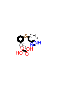 CC(Cc1c[nH]cn1)Sc1cccc(C(F)(F)F)c1.O=C(O)C(=O)O